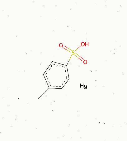 Cc1ccc(S(=O)(=O)O)cc1.[Hg]